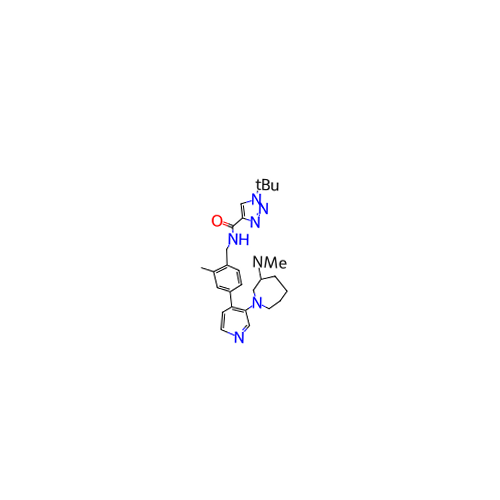 CNC1CCCCN(c2cnccc2-c2ccc(CNC(=O)c3cn(C(C)(C)C)nn3)c(C)c2)C1